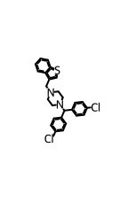 Clc1ccc(C(c2ccc(Cl)cc2)N2CCN(Cc3csc4ccccc34)CC2)cc1